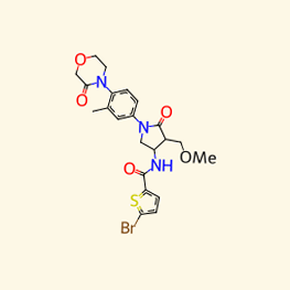 COCC1C(=O)N(c2ccc(N3CCOCC3=O)c(C)c2)CC1NC(=O)c1ccc(Br)s1